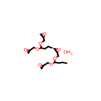 CCCC(OCC1CO1)OCC1CO1.CCCC(OCC1CO1)OCC1CO1.O